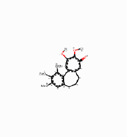 CCOc1cc2c(cc(=O)c1OCC)CCCc1cc(OC)c(OC)c(OC)c1-2